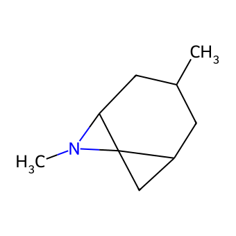 CC1CC2CC23C(C1)N3C